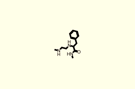 CNCCNC(Cc1ccccc1)C(=O)NC